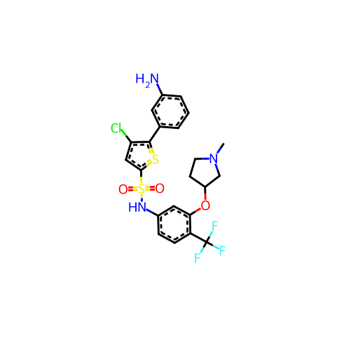 CN1CCC(Oc2cc(NS(=O)(=O)c3cc(Cl)c(-c4cccc(N)c4)s3)ccc2C(F)(F)F)C1